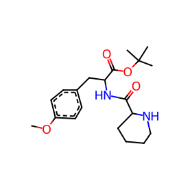 COc1ccc(CC(NC(=O)C2CCCCN2)C(=O)OC(C)(C)C)cc1